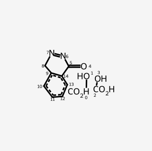 O=C(O)O.O=C(O)O.O=C1N=NCc2ccccc21